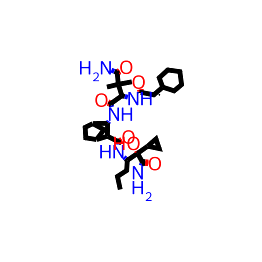 CCCC(NC(=O)C1C2CCC(C2)C1NC(=O)C(NC(=O)[CH]C1CCCCC1)C(C)(C)C(N)=O)C(O)(C(N)=O)C1CC1